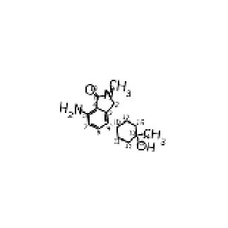 CN1Cc2c(c(N)ccc2[C@H]2CC[C@@](C)(O)CC2)C1=O